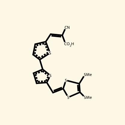 CSC1=C(SC)SC(=Cc2ccc(-c3ccc(C=C(C#N)C(=O)O)s3)s2)S1